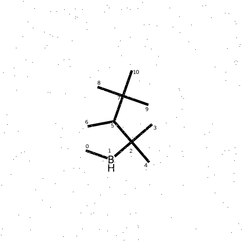 CBC(C)(C)C(C)C(C)(C)C